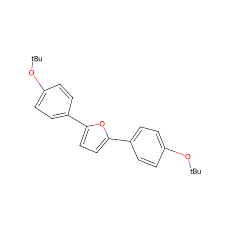 CC(C)(C)Oc1ccc(-c2ccc(-c3ccc(OC(C)(C)C)cc3)o2)cc1